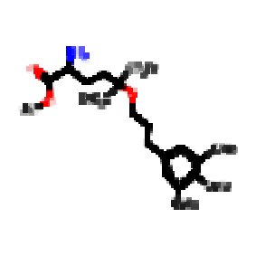 CCOC(=O)C(CCC(N)C(=O)OC(C)(C)C)(OCCCc1cc(OC)c(OC)c(OC)c1)C(=O)OCC